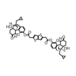 Cc1ccc(OC(=O)Cc2cc3sc(CC(=O)Oc4ccc5c6c4O[C@H]4C(=O)CC[C@@]7(O)[C@@H](C5)N(CC5CC5)CC[C@]647)cc3s2)c2c1[C@]13CCN(CC4CC4)[C@H](C)[C@]1(O)CCC(=O)[C@@H]3O2